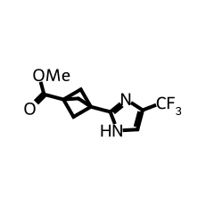 COC(=O)C12CC(c3nc(C(F)(F)F)c[nH]3)(C1)C2